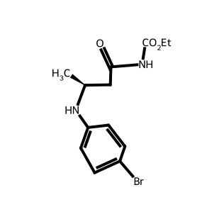 CCOC(=O)NC(=O)C[C@H](C)Nc1ccc(Br)cc1